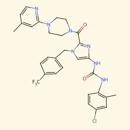 Cc1ccnc(N2CCN(C(=O)c3nc(NC(=O)Nc4ccc(Cl)cc4C)cn3Cc3ccc(C(F)(F)F)cc3)CC2)c1